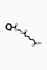 O=C(O)CCCCC(=O)OCOC(=O)c1ccccc1